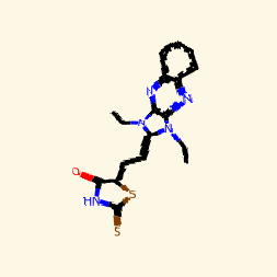 CCN1C(=C/C=C2\SC(=S)NC2=O)N(CC)c2nc3ccccc3nc21